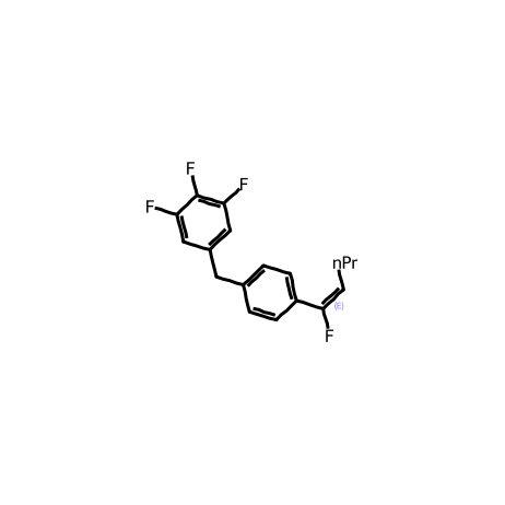 CCC/C=C(/F)c1ccc(Cc2cc(F)c(F)c(F)c2)cc1